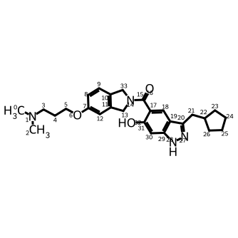 CN(C)CCCOc1ccc2c(c1)CN(C(=O)c1cc3c(CC4CCCC4)n[nH]c3cc1O)C2